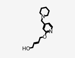 OCC=CCOc1cc(CN2CCCCC2)ccn1